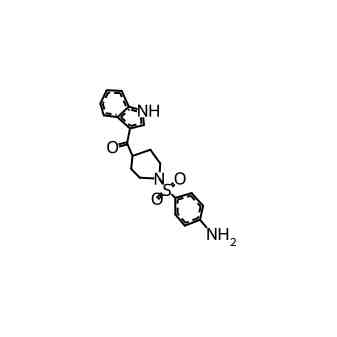 Nc1ccc(S(=O)(=O)N2CCC(C(=O)c3c[nH]c4ccccc34)CC2)cc1